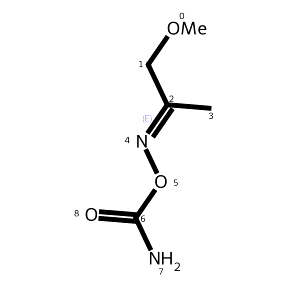 COC/C(C)=N/OC(N)=O